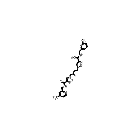 O=C(NCc1cc(C(F)(F)F)ccn1)c1cn(CC(F)CCn2cc(C(O)NCc3cccc(C(F)(F)F)n3)nn2)nn1